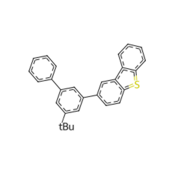 CC(C)(C)c1cc(-c2ccccc2)cc(-c2ccc3sc4ccccc4c3c2)c1